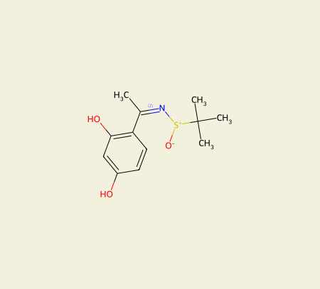 C/C(=N/[S+]([O-])C(C)(C)C)c1ccc(O)cc1O